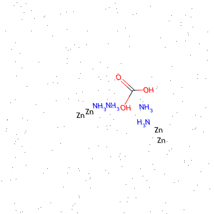 N.N.N.N.O=C(O)O.[Zn].[Zn].[Zn].[Zn]